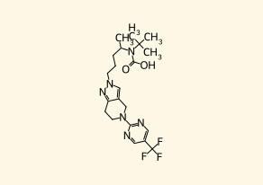 CC(CCCn1cc2c(n1)CCN(c1ncc(C(F)(F)F)cn1)C2)N(C(=O)O)C(C)(C)C